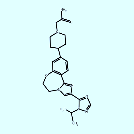 CC(C)n1ncnc1-c1cn2c(n1)-c1ccc(C3CCN(CC(N)=O)CC3)cc1OCC2